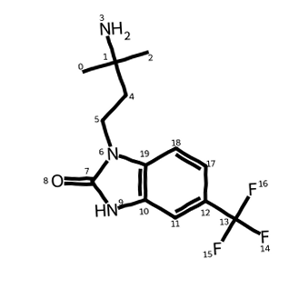 CC(C)(N)CCn1c(=O)[nH]c2cc(C(F)(F)F)ccc21